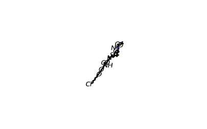 CN(CCOC(=O)NCCOCCOCCCCCCCl)c1cc2c(s1)-c1oc(/C=C(\C#N)C(=O)OC(C)(C)C)cc1C2(C)C